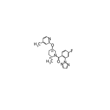 Cc1ccnc(O[C@@H]2CC[C@@H](C)N(C(=O)c3ccc(F)cc3-n3nccn3)C2)c1